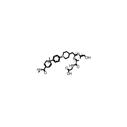 CNC(=O)C1=CC[C@](C)(c2ccc(N3CCC(CC(=N/C(C)=C/O)/N=C(\C)C(=O)NCC(=O)O)CC3)cc2)C=C1